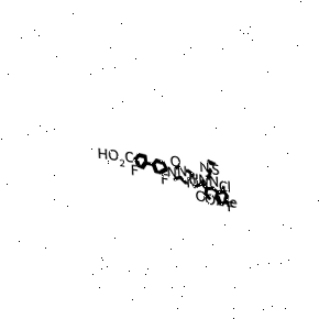 COC(=O)C1=C(CN2CCN3C(=O)N(c4ccc(-c5ccc(C(=O)O)c(F)c5)cc4F)CC3C2)NC(c2nccs2)=NC1c1ccc(F)cc1Cl